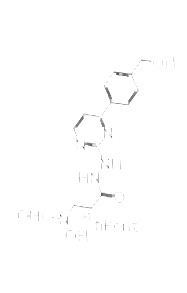 CCCCC[C@H](CN(O)C=O)C(=O)NNc1nccc(-c2ccc(CO)cc2)n1